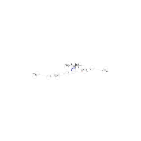 C=CC(=O)OCCCCCCOc1ccc(OC(=O)C2CCC(COc3ccc(OCC4CCC(C(=O)Oc5ccc(OCCCCCCOC(=O)C=C)cc5)CC4)c(/C=C/N(CCOC(=O)C=C)c4nc5ccccc5s4)c3)CC2)cc1